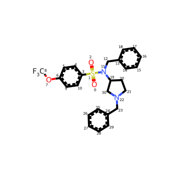 O=S(=O)(c1ccc(OC(F)(F)F)cc1)N(Cc1ccccc1)C1CCN(Cc2ccccc2)C1